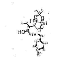 CCC(C(=O)O)[C@H]1[C@H]2OC(C)(C)O[C@H]2O[C@@H]1/C=C/c1ccc(Br)cc1